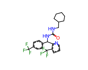 O=C(NCC1CCCCC1)NC(c1ccc(C(F)(F)F)cc1)c1ncccc1C(F)(F)F